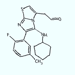 Cc1ccc(F)c(-c2nc3scc(CC=O)n3c2NC2CCCCC2)c1